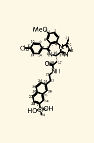 COc1ccc2c(c1)C(c1ccc(Cl)cc1)=N[C@@H](CC(=O)NCCc1ccc3ccc([Si](C)(O)O)cc3c1)c1nnc(C)n1-2